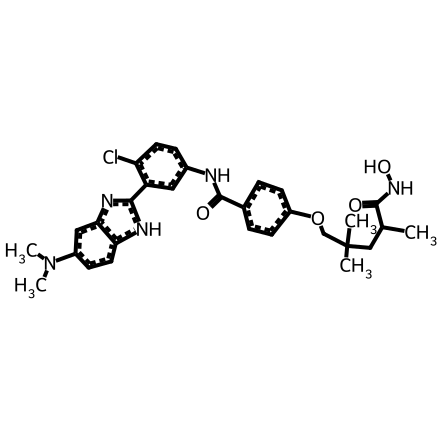 CC(CC(C)(C)COc1ccc(C(=O)Nc2ccc(Cl)c(-c3nc4cc(N(C)C)ccc4[nH]3)c2)cc1)C(=O)NO